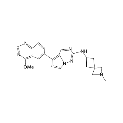 COc1ncnc2ccc(-c3ccn4nc(NC5CC6(C5)CN(C)C6)ncc34)cc12